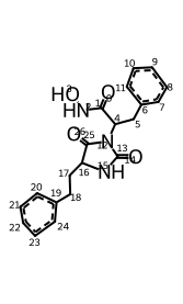 O=C(NO)C(Cc1ccccc1)N1C(=O)NC(CCc2ccccc2)C1=O